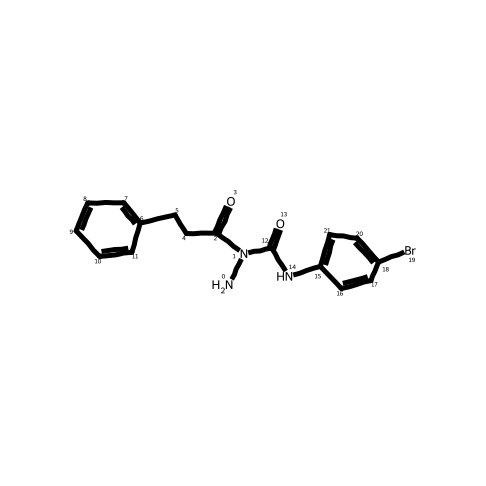 NN(C(=O)CCc1ccccc1)C(=O)Nc1ccc(Br)cc1